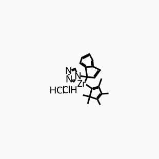 CC1=C(C)C(C)(C)[C]([Zr][C]2(n3cnnc3)C=Cc3ccccc32)=C1C.Cl.Cl